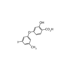 Cc1cc(I)cc(Oc2ccc(C(=O)O)c(O)c2)c1